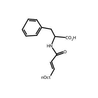 CCCCCCCCC=CC(=O)NC(Cc1ccccc1)C(=O)O